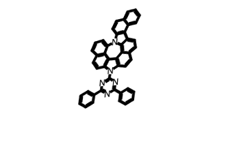 c1ccc(-c2nc(-c3ccccc3)nc(-n3c4ccc5cccc6c5c4c4c5c(ccc7c8c9ccccc9ccc8n6c75)ccc43)n2)cc1